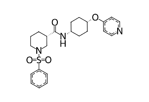 O=C(N[C@H]1CC[C@@H](Oc2ccncc2)CC1)[C@H]1CCCN(S(=O)(=O)c2ccccc2)C1